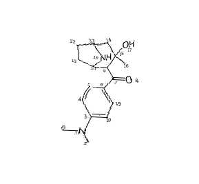 CN(C)c1ccc(C(=O)C2C3CCC(CC2(C)O)N3)cc1